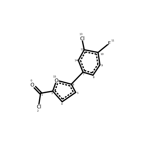 O=C(Cl)c1ccc(-c2ccc(F)c(Cl)c2)o1